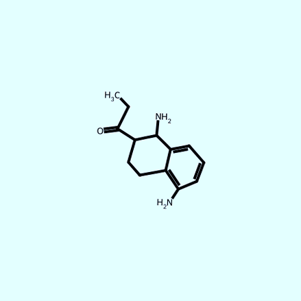 CCC(=O)C1CCc2c(N)cccc2C1N